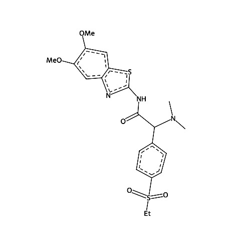 CCS(=O)(=O)c1ccc(C(C(=O)Nc2nc3cc(OC)c(OC)cc3s2)N(C)C)cc1